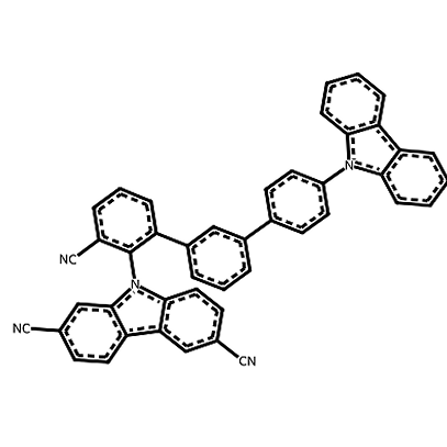 N#Cc1ccc2c(c1)c1ccc(C#N)cc1n2-c1c(C#N)cccc1-c1cccc(-c2ccc(-n3c4ccccc4c4ccccc43)cc2)c1